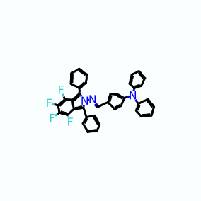 Fc1c(F)c(F)c2c(-c3ccccc3)n(N=Cc3ccc(N(c4ccccc4)c4ccccc4)cc3)c(-c3ccccc3)c2c1F